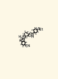 CCOc1ccc(NC[C@]2(O)CCC[C@](C)(Cn3cnc4ccc(C#N)cc43)C2)cn1